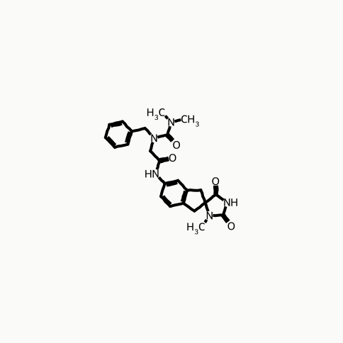 CN(C)C(=O)N(CC(=O)Nc1ccc2c(c1)CC1(C2)C(=O)NC(=O)N1C)Cc1ccccc1